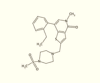 CCc1ccccc1-c1cn(C)c(=O)c2cc(CN3CCN(S(C)(=O)=O)CC3)sc12